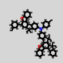 Cc1ccc(N(c2ccc3c(c2)C(C)(C)c2cc(-c4cccc(C)c4)c4oc5ccccc5c4c2-3)c2ccc3c(c2)C(C)(C)c2c4c(c5c(oc6ccccc65)c2-3)-c2ccccc2C4(C)C)cc1